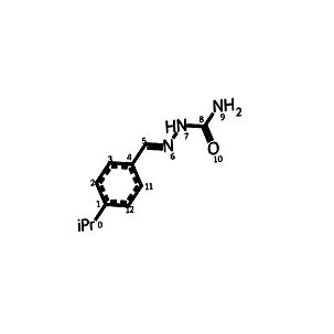 CC(C)c1ccc(C=NNC(N)=O)cc1